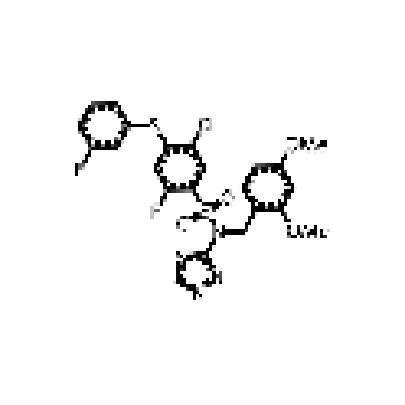 COc1ccc(CN(c2nncs2)S(=O)(=O)c2cc(Cl)c(Sc3cccc(F)c3)cc2F)c(OC)c1